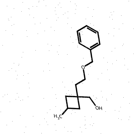 CC1CC(CO)(CCOCc2ccccc2)C1